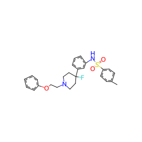 Cc1ccc(S(=O)(=O)Nc2cccc(C3(F)CCN(CCOc4ccccc4)CC3)c2)cc1